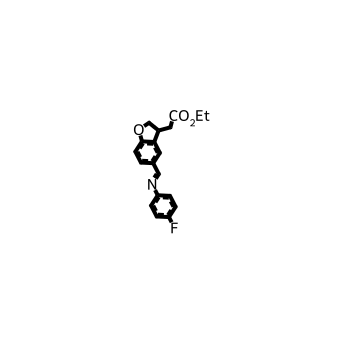 CCOC(=O)CC1COc2ccc(C=Nc3ccc(F)cc3)cc21